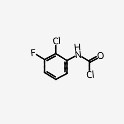 O=C(Cl)Nc1cccc(F)c1Cl